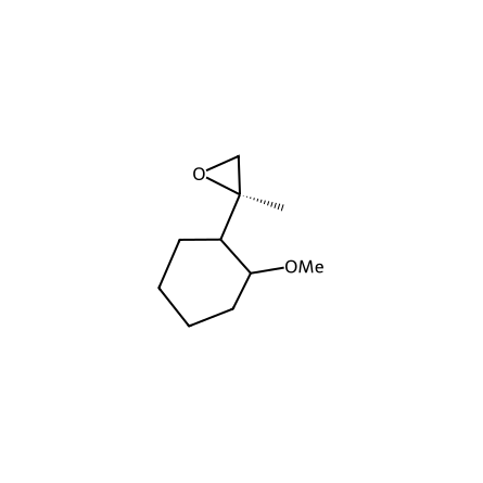 COC1CCCCC1[C@]1(C)CO1